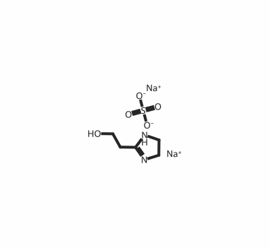 O=S(=O)([O-])[O-].OCCC1=NCCN1.[Na+].[Na+]